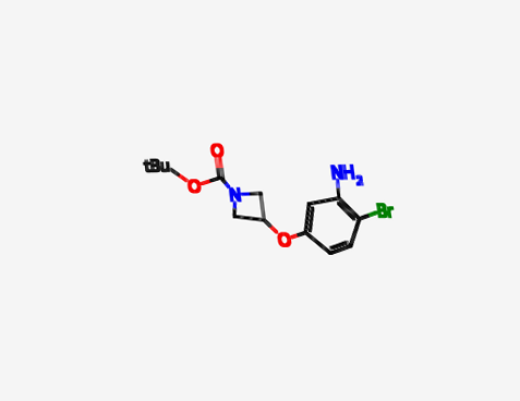 CC(C)(C)OC(=O)N1CC(Oc2ccc(Br)c(N)c2)C1